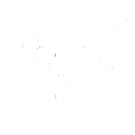 O=C(O)N[C@H](C(=O)Nc1ccccc1CCC1CNC[C@@H](C(S)c2ccc(Cl)cc2)O1)C(c1ccccc1)c1ccccc1